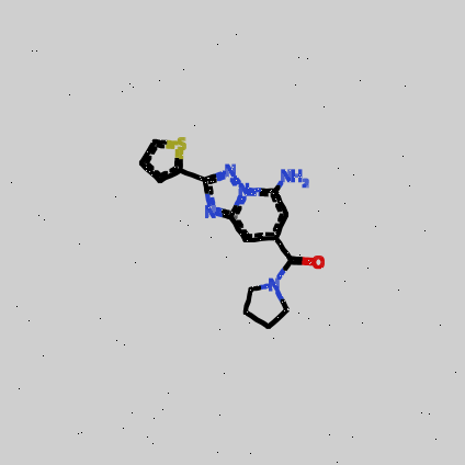 Nc1cc(C(=O)N2CCCC2)cc2nc(-c3cccs3)nn12